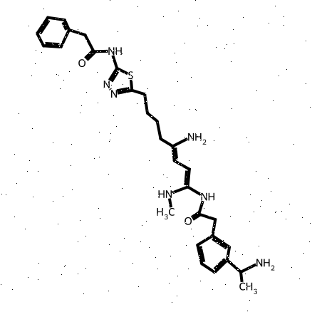 CN/C(=C\C=C(/N)CCCCc1nnc(NC(=O)Cc2ccccc2)s1)NC(=O)Cc1cccc(C(C)N)c1